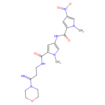 Cn1cc(NC(=O)c2cc([N+](=O)[O-])cn2C)cc1C(=O)NCCC(=N)N1CCOCC1